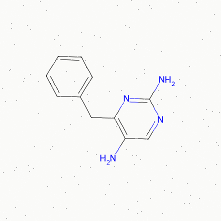 Nc1ncc(N)c(Cc2ccccc2)n1